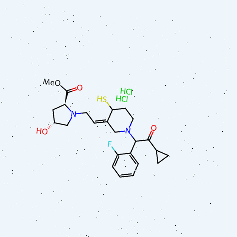 COC(=O)[C@@H]1C[C@@H](O)CN1C/C=C1/CN(C(C(=O)C2CC2)c2ccccc2F)CCC1S.Cl.Cl